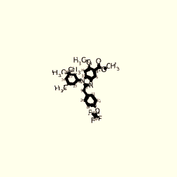 COC(=O)c1cc2nc(Cc3ccc(OC(F)(F)F)cc3)n(C3C[C@H](C)CC(C)(C)C3)c2cc1OC